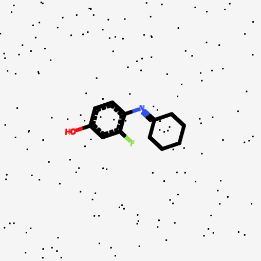 Oc1ccc(N=C2CCCCC2)c(F)c1